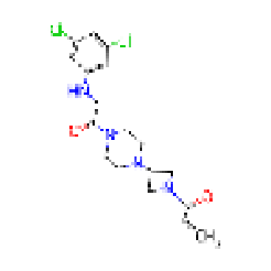 C=CC(=O)N1CC(N2CCN(C(=O)CNc3cc(Cl)cc(Cl)c3)CC2)C1